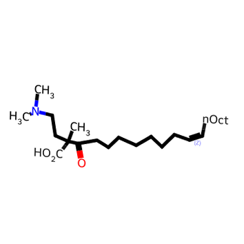 CCCCCCCC/C=C\CCCCCCCC(=O)C(C)(CCN(C)C)C(=O)O